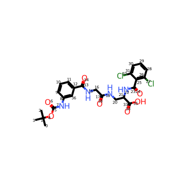 CC(C)(C)OC(=O)Nc1cccc(C(=O)NCC(=O)NCC(NC(=O)c2c(Cl)cccc2Cl)C(=O)O)c1